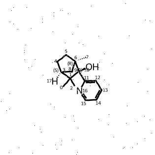 CC1(C)[C@H]2CC[C@](C)(C2)[C@]1(O)c1ccccn1